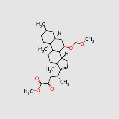 COCO[C@@H]1C[C@@H]2C[C@H](C)CC[C@]2(C)C2CC[C@]3(C)C([C@H](C)CC(=O)C(=O)OC)=CC[C@H]3C21